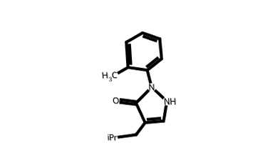 Cc1ccccc1-n1[nH]cc(CC(C)C)c1=O